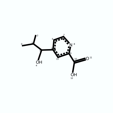 CC(C)C(O)c1ccnc(C(=O)O)c1